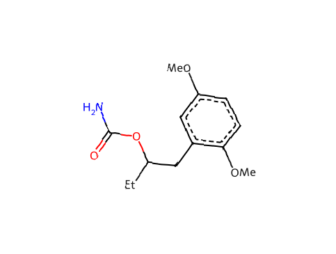 CCC(Cc1cc(OC)ccc1OC)OC(N)=O